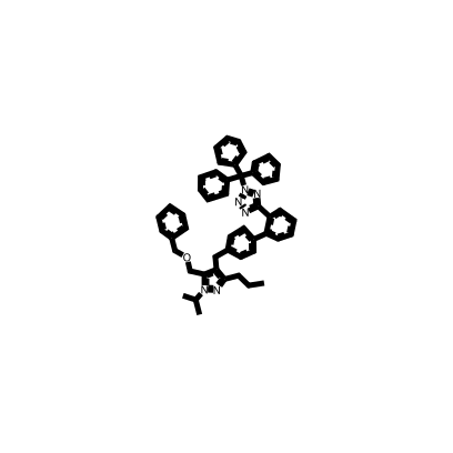 CCCc1nn(C(C)C)c(COCc2ccccc2)c1Cc1ccc(-c2ccccc2-c2nnn(C(c3ccccc3)(c3ccccc3)c3ccccc3)n2)cc1